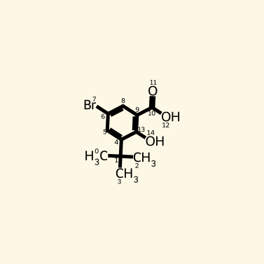 CC(C)(C)c1cc(Br)cc(C(=O)O)c1O